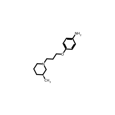 C[C@H]1CCCN(CCCOc2ccc(N)cc2)C1